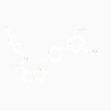 COc1cc(OC)cc(-c2ccc(Cn3ccc4scc(C(=O)NC5CC6(C5)CC(C(C)=O)C6)c43)cc2)c1